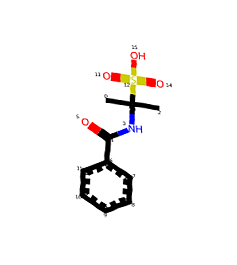 CC(C)(NC(=O)c1ccccc1)S(=O)(=O)O